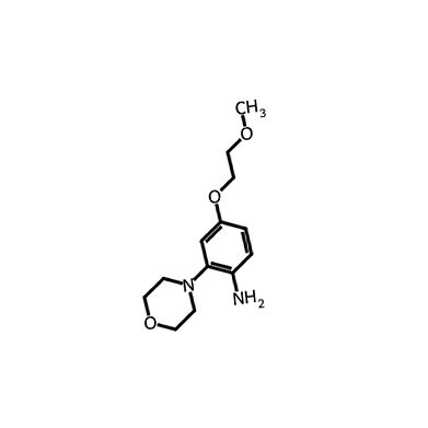 COCCOc1ccc(N)c(N2CCOCC2)c1